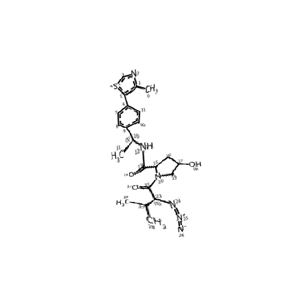 Cc1ncsc1-c1ccc([C@H](C)NC(=O)C2CC(O)CN2C(=O)[C@@H](N=[N+]=[N-])C(C)C)cc1